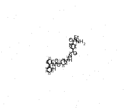 CCN(N)C(=O)c1ccc(C(=O)CNCCN2CCC(OC(=O)Nc3ccccc3-c3ccccc3)CC2)cn1